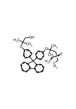 C=CP(=O)(CC)CC(C)(C)Oc1ccc(C2(c3ccc(OC(C)(C)CO)cc3)c3ccccc3-c3ccccc32)cc1